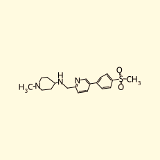 CN1CCC(NCc2ccc(-c3ccc(S(C)(=O)=O)cc3)cn2)CC1